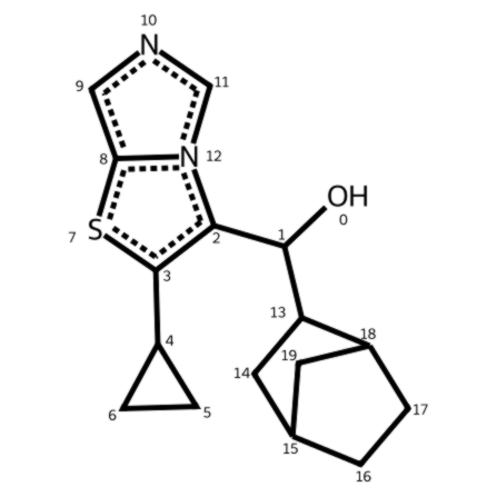 OC(c1c(C2CC2)sc2cncn12)C1CC2CCC1C2